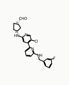 O=C[C@H]1CC[C@@H](Nc2cc(-c3cccc(NCc4cccc(F)c4)n3)c(Cl)cn2)C1